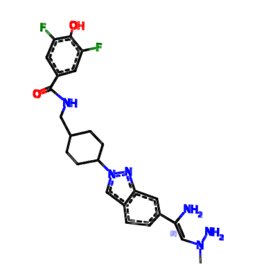 CN(N)/C=C(\N)c1ccc2cn(C3CCC(CNC(=O)c4cc(F)c(O)c(F)c4)CC3)nc2c1